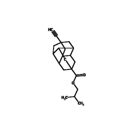 C#CC12CC3C4CC5(C(=O)OCC(C)C)CC3C(C1)C(C5)C4C2